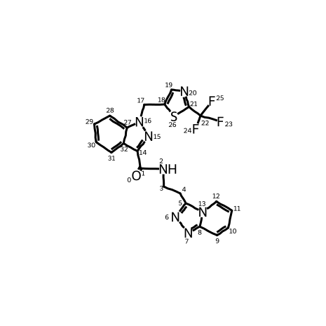 O=C(NCCc1nnc2ccccn12)c1nn(Cc2cnc(C(F)(F)F)s2)c2ccccc12